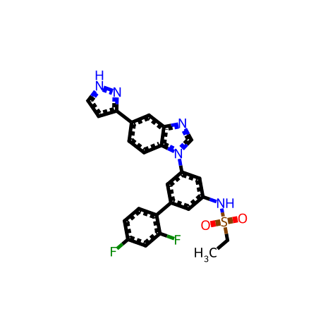 CCS(=O)(=O)Nc1cc(-c2ccc(F)cc2F)cc(-n2cnc3cc(-c4cc[nH]n4)ccc32)c1